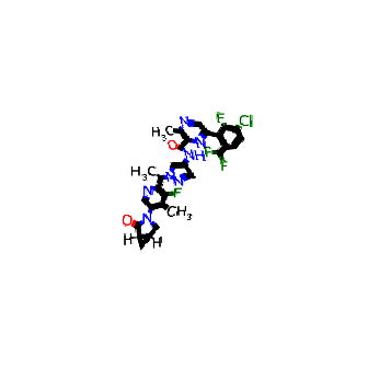 Cc1ncc(-c2c(C(F)F)ccc(Cl)c2F)nc1C(=O)Nc1cnn([C@H](C)c2ncc(N3C[C@H]4C[C@H]4C3=O)c(C)c2F)c1